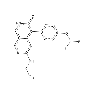 O=c1[nH]cc2cnc(NCC(F)(F)F)nc2c1-c1ccc(OC(F)F)cc1